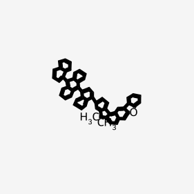 CC1(C)c2cc(-c3ccc(-c4c5ccccc5c(-c5cccc6ccccc56)c5ccccc45)c4ccccc34)ccc2-c2c1ccc1cc3oc4ccccc4c3cc21